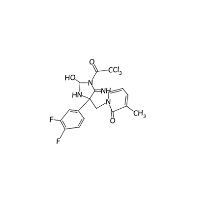 Cc1cccn(CC2(c3ccc(F)c(F)c3)NC(O)N(C(=O)C(Cl)(Cl)Cl)C2=N)c1=O